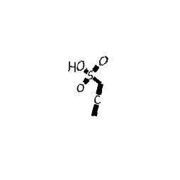 C=C=CS(=O)(=O)O